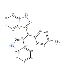 CC(C)(C)c1ccc(C(c2c[nH]c3ccccc23)c2c[nH]c3ccccc23)cc1